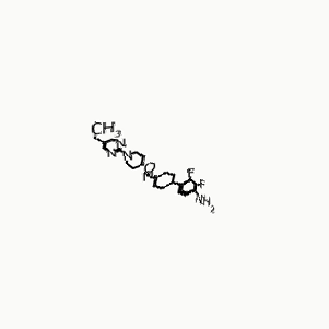 CCc1cnc(N2CCC(ON=C3CCC(c4ccc(N)c(F)c4F)CC3)CC2)nc1